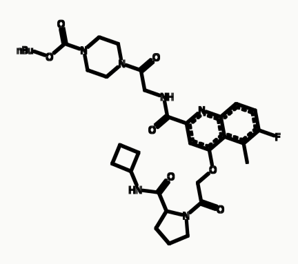 CCCCOC(=O)N1CCN(C(=O)CNC(=O)c2cc(OCC(=O)N3CCCC3C(=O)NC3CCC3)c3c(C)c(F)ccc3n2)CC1